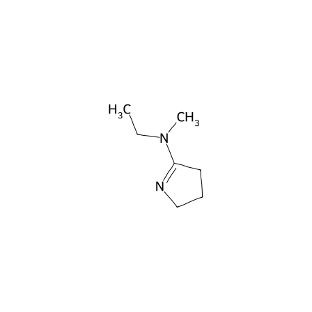 CCN(C)C1=NCCC1